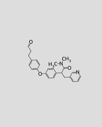 CN(C)C(=O)C(Cc1cccnc1)c1ccc(Oc2ccc(CCC=O)cc2)cc1